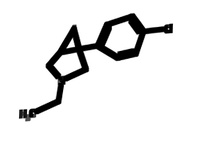 CCN1CC2CC2(c2ccc(Cl)cc2)C1